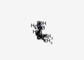 CCCC[C@H](OCCC)c1cccc(-c2csc(NC(=O)c3cc(Cl)c(/C=C(\C)C(=O)O)c(Cl)c3)n2)c1OC